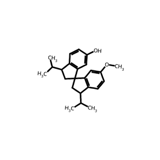 COc1ccc2c(c1)C1(CC(C(C)C)c3ccc(O)cc31)CC2C(C)C